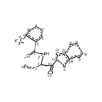 CCCCCC(NC(=O)c1ccccc1C(F)(F)F)C(=O)c1nc2ccccc2s1